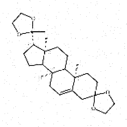 CC1([C@H]2CCC3[C@@H]4CC=C5CC6(CC[C@]5(C)C4CC[C@@]32C)OCCO6)OCCO1